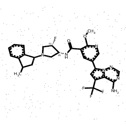 COc1ncc(-c2cc(C(F)(F)F)c3c(N)ncnn23)cc1C(=O)N[C@@H]1CN(C2CC(C)c3ccccc32)C[C@@H]1F